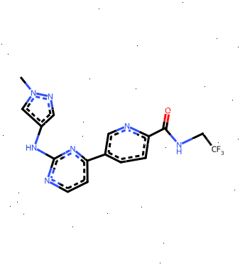 Cn1cc(Nc2nccc(-c3ccc(C(=O)NCC(F)(F)F)nc3)n2)cn1